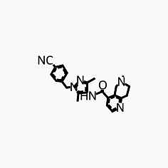 Cc1nn(Cc2ccc(C#N)cc2)c(C)c1NC(=O)c1ccnc2c1CN(C)CC2